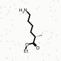 CCOC(=O)[C@@H](C)CCCCN